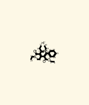 CCOC(=O)c1c(CC)c(C(=O)SCC)c(CC)[n+](CC)c1-c1ccccc1.[I-]